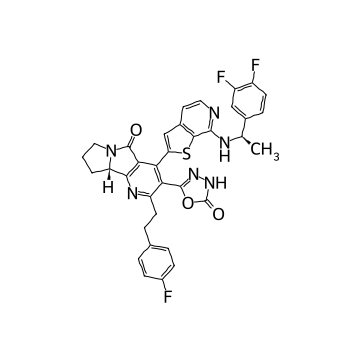 C[C@@H](Nc1nccc2cc(-c3c4c(nc(CCc5ccc(F)cc5)c3-c3n[nH]c(=O)o3)[C@@H]3CCCN3C4=O)sc12)c1ccc(F)c(F)c1